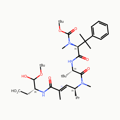 C/C(=C\[C@H](C(C)C)N(C)C(=O)[C@@H](NC(=O)[C@@H](N(C)C(=O)OC(C)(C)C)C(C)(C)c1ccccc1)C(C)(C)C)C(=O)N[C@H](CC(=O)O)C(O)OC(C)(C)C